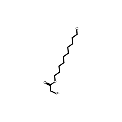 CC(C)CC(=O)OCCCCCCCCCCCl